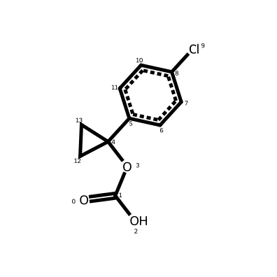 O=C(O)OC1(c2ccc(Cl)cc2)CC1